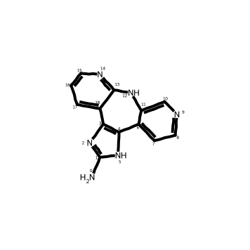 Nc1nc2c([nH]1)-c1ccncc1Nc1ncccc1-2